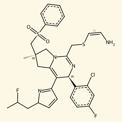 CC(F)CC1C=CC(C2=C3C[C@@](C)(CS(=O)(=O)c4ccccc4)CN3C(CS/C=C\N)=N[C@H]2c2ccc(F)cc2Cl)=N1